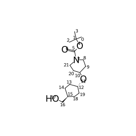 CC(C)(C)OC(=O)N1CCC(O[C@H]2CC[C@H](CO)CC2)CC1